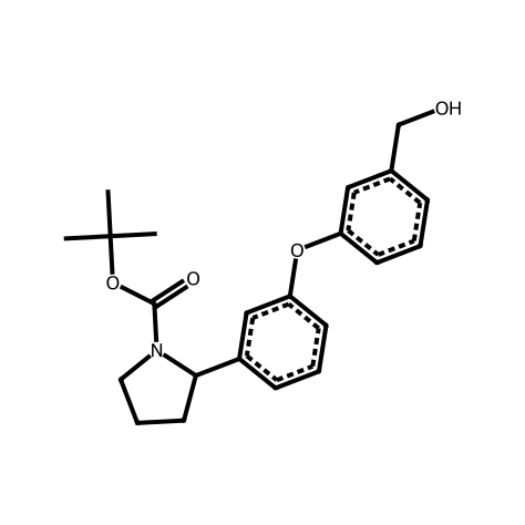 CC(C)(C)OC(=O)N1CCCC1c1cccc(Oc2cccc(CO)c2)c1